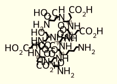 CC(=O)N[C@H](CO)C(=O)N[C@H](CCC(=O)O)C(=O)N[C@H](CC(=O)O)C(=O)N[C@H](CC(N)=O)C(=O)N[C@H](CCCCN)C(=O)N[C@H](CC(=O)O)C(=O)N[C@H](CCC(=O)O)C(=O)N[C@H](CCC(=O)O)C(=O)N[C@H](CC(N)=O)C(=O)O